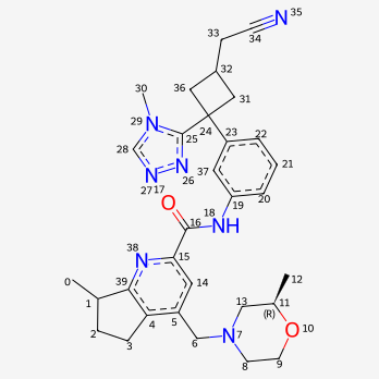 CC1CCc2c(CN3CCO[C@H](C)C3)cc(C(=O)Nc3cccc(C4(c5nncn5C)CC(CC#N)C4)c3)nc21